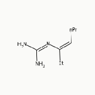 CCC/C=C(/CC)N=C(N)N